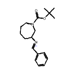 CC(C)(C)OC(=O)N1CCCCC(/N=C/c2ccccc2)C1